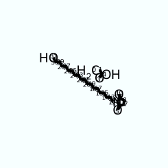 C=CC(=O)O.O=C1CCC(=O)N1CCCCCCCCCCCCCCCCCCCO